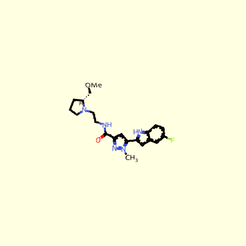 COC[C@H]1CCCN1CCNC(=O)c1cc(-c2cc3cc(F)ccc3[nH]2)n(C)n1